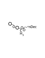 CCCCCCCCCCCCCC(=O)OC(C)c1ccc(OCc2ccccc2)cc1